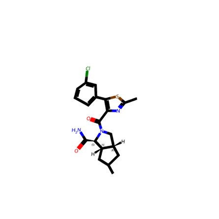 Cc1nc(C(=O)N2C[C@@H]3CC(C)C[C@@H]3[C@H]2C(N)=O)c(-c2cccc(Cl)c2)s1